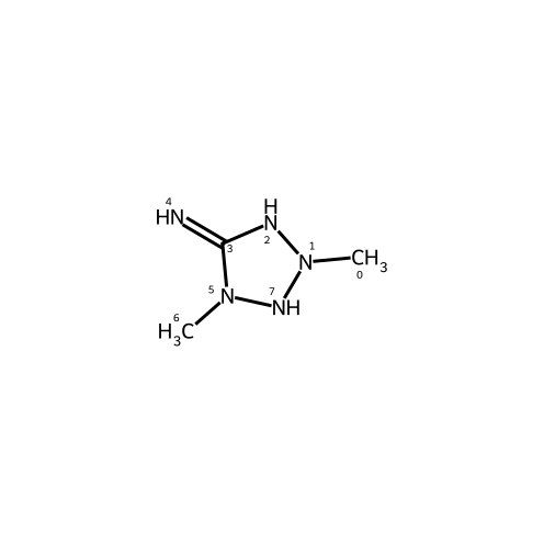 CN1NC(=N)N(C)N1